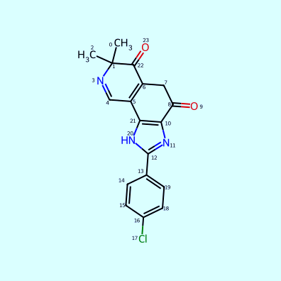 CC1(C)N=CC2=C(CC(=O)c3nc(-c4ccc(Cl)cc4)[nH]c32)C1=O